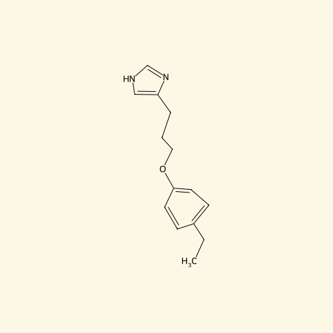 CCc1ccc(OCCCc2c[nH]cn2)cc1